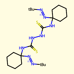 CC(C)(C)/N=N/C1(NC(=S)NNC(=S)NC2(/N=N/C(C)(C)C)CCCCC2)CCCCC1